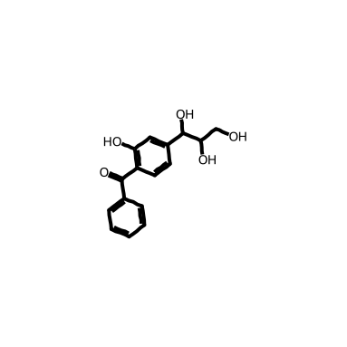 O=C(c1ccccc1)c1ccc(C(O)C(O)CO)cc1O